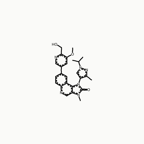 COc1cc(-c2ccc3ncc4c(c3c2)n(-c2cn(C(C)C)nc2C)c(=O)n4C)cnc1CO